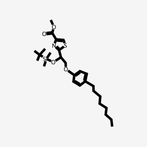 CCCCCCCCc1ccc(OCC(O[Si](C)(C)C(C)(C)C)c2nc(C(=O)OC)cs2)cc1